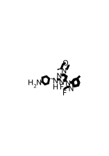 Cc1ccc2nc(C(F)F)n(-c3cc(N4CCOC[C@@H]4C)nc(NC[C@H]4CC[C@H](N)CC4)n3)c2c1